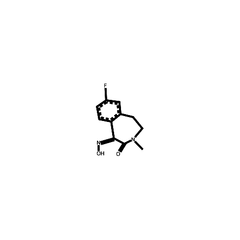 CN1CCc2cc(F)ccc2C(=NO)C1=O